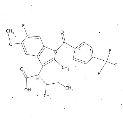 CCC(C)[C@H](C(=O)O)c1c(C)n(C(=O)c2ccc(C(F)(F)F)cc2)c2cc(F)c(OC)cc12